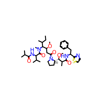 CCC(C)C(C(CC(=O)N1CCC[C@H]1C(OC)C(C)C(=O)NC(Cc1ccccc1)c1nccs1)OC)N(C)C(=O)C(NC(=O)C(C)C)C(C)C